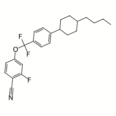 CCCCC1CCC(c2ccc(C(F)(F)Oc3ccc(C#N)c(F)c3)cc2)CC1